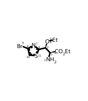 CCOC(=O)[C@@H](N)[C@H](OCC)c1nc(Br)cs1